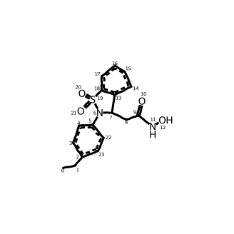 CCc1ccc(N2C(CC(=O)NO)c3ccccc3S2(=O)=O)cc1